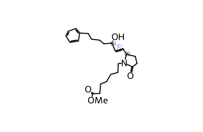 COC(=O)CCCCCCN1C(=O)CC[C@@H]1/C=C/[C@@H](O)CCCCc1ccccc1